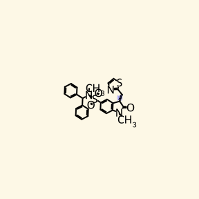 CN1C(=O)/C(=C/c2nccs2)c2cc(S(=O)(=O)N(C)C(c3ccccc3)c3ccccc3)ccc21